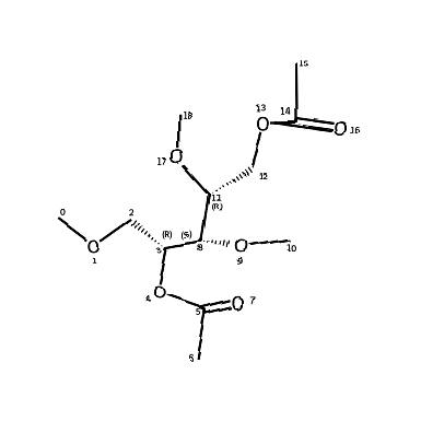 COC[C@@H](OC(C)=O)[C@@H](OC)[C@@H](COC(C)=O)OC